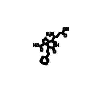 N[C@@H](CCC(=O)O)C(=O)C1SCC(C(=O)O)N1C(CCc1ccccc1)C(=O)O